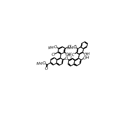 COC(=O)c1ccc2c(-c3c(O)c(Cl)cc(OC)c3Cl)c(Oc3ccc4ccc(O)c(-c5c(C)c(OC)c6ccccc6c5O)c4c3)ccc2c1